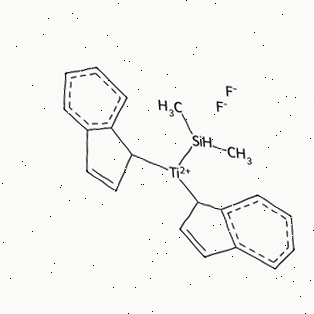 C[SiH](C)[Ti+2]([CH]1C=Cc2ccccc21)[CH]1C=Cc2ccccc21.[F-].[F-]